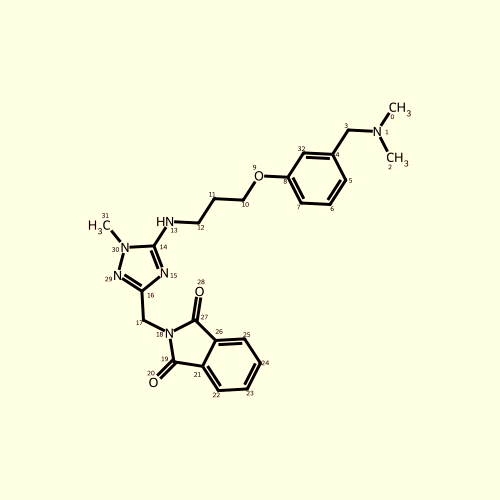 CN(C)Cc1cccc(OCCCNc2nc(CN3C(=O)c4ccccc4C3=O)nn2C)c1